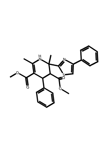 COC(=O)C1=C(C)NC(C)(c2nc(-c3ccccc3)cs2)C(C(=O)OC)C1c1ccccc1